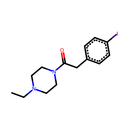 CCN1CCN(C(=O)Cc2ccc(I)cc2)CC1